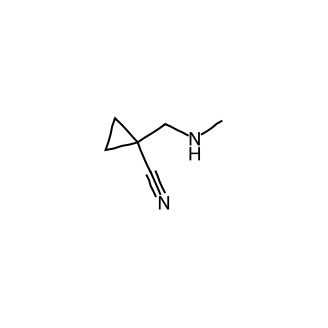 CNCC1(C#N)CC1